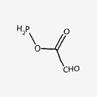 O=CC(=O)OP